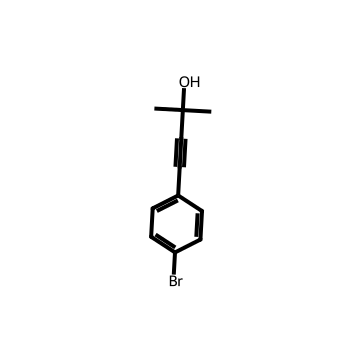 CC(C)(O)C#Cc1ccc(Br)cc1